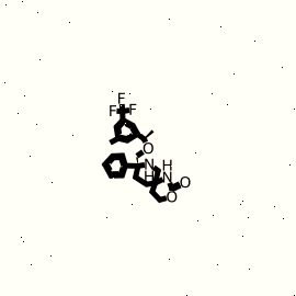 Cc1cc([C@@H](C)OC[C@@]2(c3ccccc3)CCC3(CCOC(=O)N3)CN2)cc(C(F)(F)F)c1